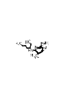 CCCCC(CO)Nc1nc(N)ncc1C